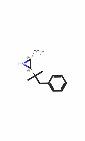 CC(C)(Cc1ccccc1)[C@@H]1N[C@@H]1C(=O)O